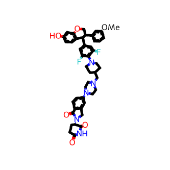 COc1cccc(C2COc3cc(O)ccc3C2c2cc(F)c(N3CCC(CN4CCN(c5ccc6c(c5)CN([C@H]5CCC(=O)NC5=O)C6=O)CC4)CC3)c(F)c2)c1